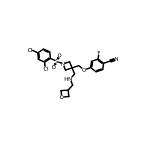 N#Cc1ccc(OCC2(CNCC3COC3)CN(S(=O)(=O)c3ccc(Cl)cc3Cl)C2)cc1F